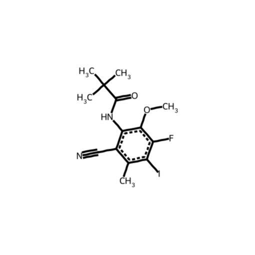 COc1c(F)c(I)c(C)c(C#N)c1NC(=O)C(C)(C)C